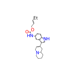 CCC=CCOC(=O)Nc1ccc2[nH]cc(C3=CCN4CCCCC4C3)c2c1